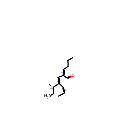 BC[C@H](C)C(/C=C\C)=C/C(C=O)=C/CCC